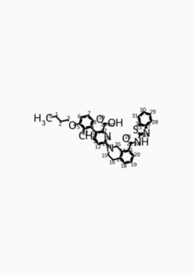 CCCCOc1cccc(-c2ccc(N3CCc4cccc(C(=O)Nc5nc6ccccc6s5)c4C3)nc2C(=O)O)c1C